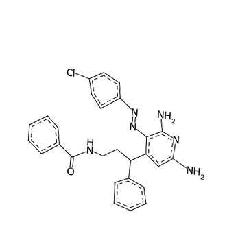 Nc1cc(C(CCNC(=O)c2ccccc2)c2ccccc2)c(/N=N/c2ccc(Cl)cc2)c(N)n1